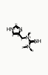 CN(C)C(=N)N(C)Cc1c[nH]cn1